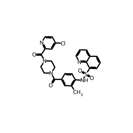 Cc1cc(C(=O)N2CCN(C(=O)c3cc(Cl)ccn3)CC2)ccc1NS(=O)(=O)c1cccc2cccnc12